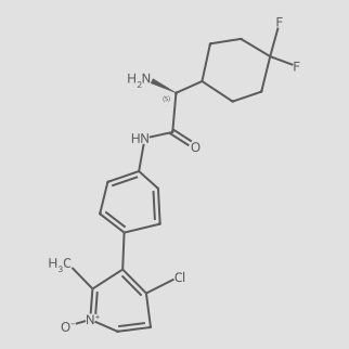 Cc1c(-c2ccc(NC(=O)[C@@H](N)C3CCC(F)(F)CC3)cc2)c(Cl)cc[n+]1[O-]